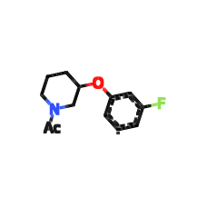 CC(=O)N1CCCC(Oc2c[c]cc(F)c2)C1